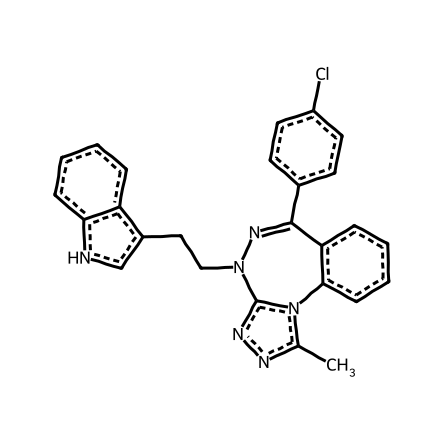 Cc1nnc2n1-c1ccccc1C(c1ccc(Cl)cc1)=NN2CCc1c[nH]c2ccccc12